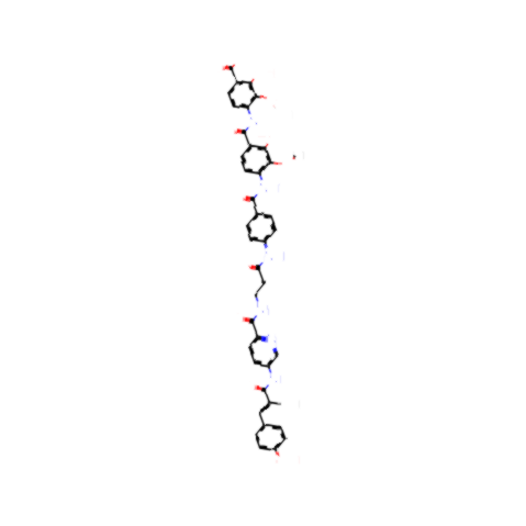 COc1c(NC(=O)c2ccc(NC(=O)c3ccc(NC(=O)CCNC(=O)c4ccc(NC(=O)/C(C)=C/c5ccc(O)cc5)cn4)cc3)c(OC)c2O)ccc(C(=O)O)c1O